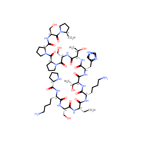 C[C@@H](O)[C@H](NC(=O)[C@H](CCCCN)NC(=O)[C@H](CC(=O)O)NC(=O)[C@H](CO)NC(=O)[C@H](CCCCN)NC(=O)[C@@H]1CCCN1)C(=O)N[C@@H](Cc1c[nH]cn1)C(=O)N[C@H](C(=O)N[C@@H](CO)C(=O)N1CCC[C@H]1C(=O)N1CCC[C@H]1C(=O)N[C@@H](CO)C(=O)N1CCC[C@H]1C(=O)O)[C@@H](C)O